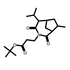 CC(C)C1C(=O)N(CCC(=O)OC(C)(C)C)C(=O)C2CC1CC2C